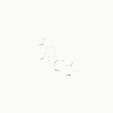 CN(C(N)=O)C(=O)OCC1=C(C(=O)[O-])N2C(=O)C3C2C1CCN3C(=O)C(F)(F)F.[Na+]